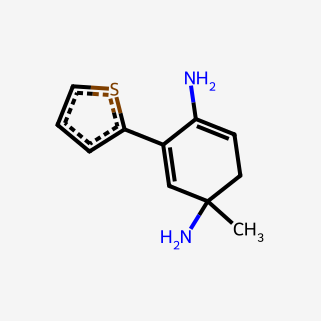 CC1(N)C=C(c2cccs2)C(N)=CC1